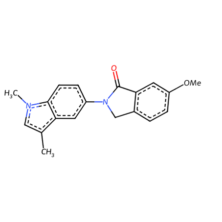 COc1ccc2c(c1)C(=O)N(c1ccc3c(c1)c(C)cn3C)C2